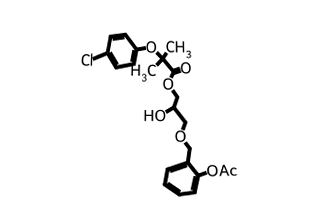 CC(=O)Oc1ccccc1COCC(O)COC(=O)C(C)(C)Oc1ccc(Cl)cc1